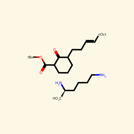 CCCCCCCCC=CCCC1CCCC(C(=O)OC(C)(C)C)C1=O.NCCCC[C@H](N)C(=O)O